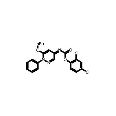 CCCCOc1cc(=NC(=O)Oc2ccc(Cl)cc2Cl)cnn1-c1ccccc1